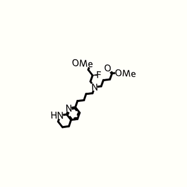 COC[C@@H](F)CN(CCCCc1ccc2c(n1)NCCC2)CCCC(=O)OC